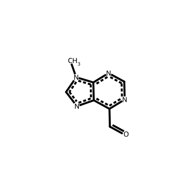 Cn1cnc2c(C=O)ncnc21